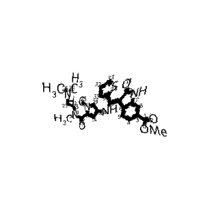 COC(=O)c1ccc2c(c1)NC(=O)C2=C(Nc1cc(C(=O)N(C)CCN(C)C)n(C)c1)c1cccs1